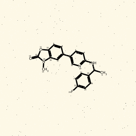 CC(Nc1ccc(-c2ccc3oc(=O)n(C)c3c2)cn1)c1ccc(F)cc1